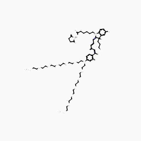 C=C(/C=C(\c1ccc(N(CCOCCOCCOCCOCCOCCOC)CCOCCOCCOCCOCCOCCOC)cc1O)C(C)(C)C)/C=C/C=C1/N(CCCCCC(=O)ON2C(=O)CCC2=O)c2ccc(S(=O)(=O)O)cc2C1(C)CCCS(=O)(=O)O